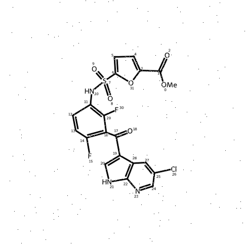 COC(=O)c1ccc(S(=O)(=O)Nc2ccc(F)c(C(=O)c3c[nH]c4ncc(Cl)cc34)c2F)o1